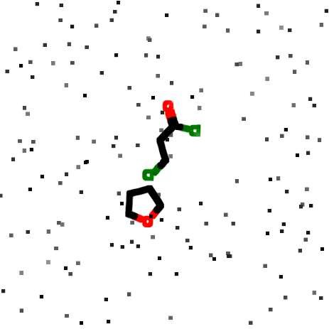 C1CCOC1.O=C(Cl)CCCl